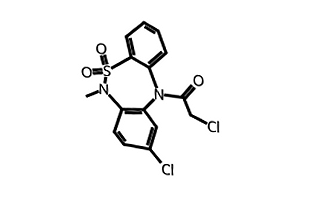 CN1c2ccc(Cl)cc2N(C(=O)CCl)c2ccccc2S1(=O)=O